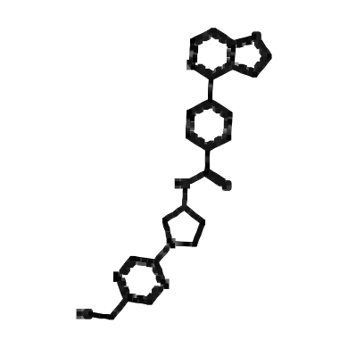 O=C(NC1CCN(c2cnc(CO)cn2)C1)c1ccc(-c2nccc3occc23)cc1